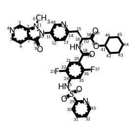 Cn1c2cnccc2c(=O)n1-c1ccc(C[C@H](NC(=O)c2cc(F)c(NS(=O)(=O)c3ccccn3)cc2F)C(=O)OC2CCCCC2)nc1